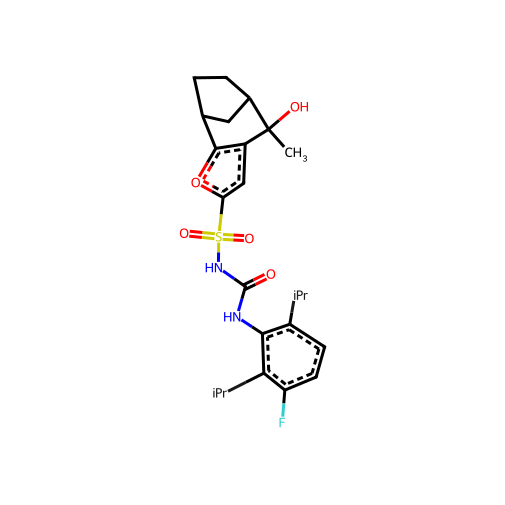 CC(C)c1ccc(F)c(C(C)C)c1NC(=O)NS(=O)(=O)c1cc2c(o1)C1CCC(C1)C2(C)O